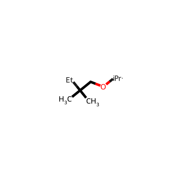 CCC(C)(C)CO[C](C)C